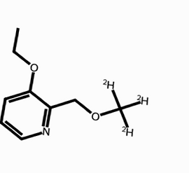 [2H]C([2H])([2H])OCc1nc[c]cc1OCC